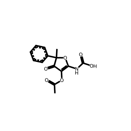 CC(=O)OC1=C(NC(=O)O)OC(C)(c2ccccc2)C1=O